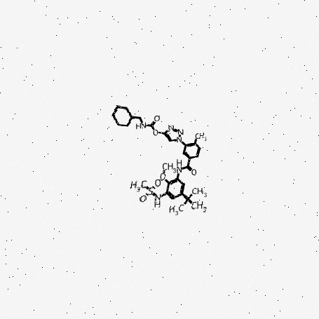 COc1c(NC(=O)c2ccc(C)c(-n3cc(OC(=O)NCC4CCCCC4)nn3)c2)cc(C(C)(C)C)cc1NS(C)(=O)=O